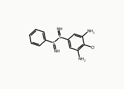 N=S(c1ccccc1)S(=N)c1cc(N)c(Cl)c(N)c1